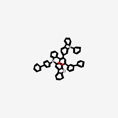 c1ccc(-c2ccc(N(c3ccc4oc5ccccc5c4c3)c3ccccc3-c3ccc(-c4cccc(-c5ccccc5)c4)cc3-c3ccc4c5ccccc5n(-c5ccccc5)c4c3)cc2)cc1